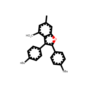 CCCCc1ccc(-c2oc3cc(C)cc(C(=O)O)c3c2-c2ccc(CCCC)cc2)cc1